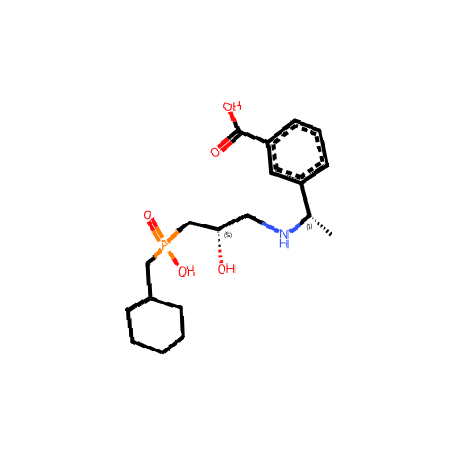 C[C@H](NC[C@H](O)CP(=O)(O)CC1CCCCC1)c1cccc(C(=O)O)c1